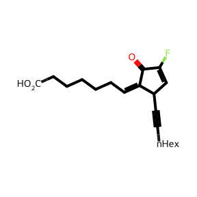 CCCCCCC#CC1C=C(F)C(=O)C1=CCCCCCC(=O)O